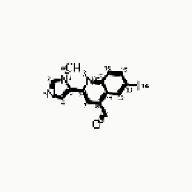 Cn1cncc1-c1cc(C=O)c2cc(I)ccc2n1